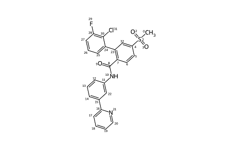 CS(=O)(=O)c1ccc(C(=O)Nc2cccc(-c3ccccn3)c2)c(-c2cccc(F)c2Cl)c1